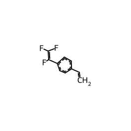 C=Cc1ccc(C(F)=C(F)F)cc1